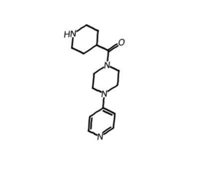 O=C(C1CCNCC1)N1CCN(c2ccncc2)CC1